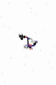 CCC(=C(c1ccccc1)c1ccc(OCCN(CC)CCCCCCCC(=O)N[C@H](C(=O)N2C[C@@H](O)C[C@H]2C(=O)NCCc2ccc(-c3scnc3C)cc2)C(C)(C)C)cc1)c1ccccc1